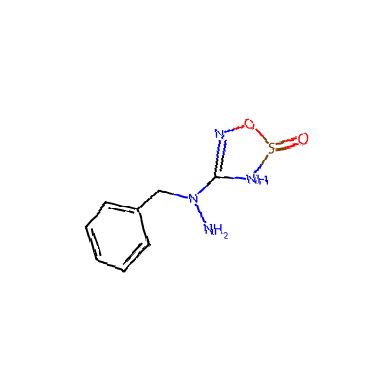 NN(Cc1ccccc1)C1=NOS(=O)N1